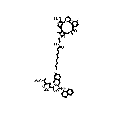 CN[C@@H](C)C(=O)N[C@H](C(=O)N1Cc2cc(OCCCCCCCCC(=O)NCCn3nc4c(c3C)-c3cnc(N)c(c3)N3CCC[C@@H]3c3cc(F)ccc3C(=O)N(C)C4)ccc2C[C@H]1C(=O)N[C@@H]1CCCc2ccccc21)C(C)(C)C